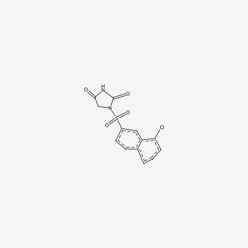 O=C1CN(S(=O)(=O)c2ccc3cccc(Cl)c3c2)C(=O)N1